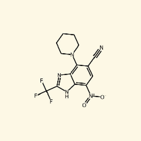 N#Cc1cc([N+](=O)[O-])c2[nH]c(C(F)(F)F)nc2c1N1CCCCC1